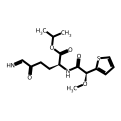 CO[C@@H](C(=O)N[C@@H](CCC(=O)C=N)C(=O)OC(C)C)c1cccs1